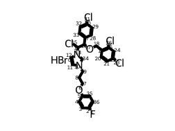 Br.Fc1ccc(OCCCN2C=CN(C(Cl)C(OCc3ccc(Cl)cc3Cl)c3ccc(Cl)cc3)C2)cc1